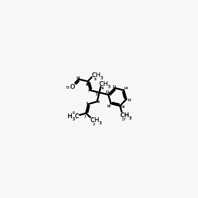 CC(C)=CCC(C)(/C=C(\C)C=O)c1cccc(C)c1